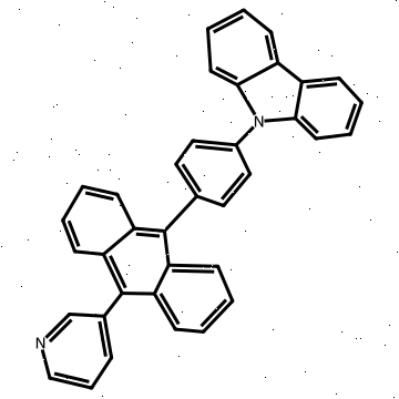 c1cncc(-c2c3ccccc3c(-c3ccc(-n4c5ccccc5c5ccccc54)cc3)c3ccccc23)c1